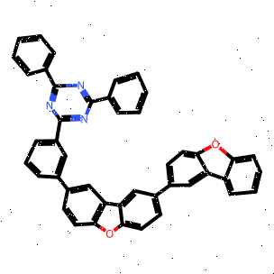 c1ccc(-c2nc(-c3ccccc3)nc(-c3cccc(-c4ccc5oc6ccc(-c7ccc8oc9ccccc9c8c7)cc6c5c4)c3)n2)cc1